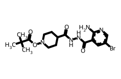 CC(C)(C)C(=O)ON1CCC(C(=O)NNC(=O)c2cc(Br)cnc2N)CC1